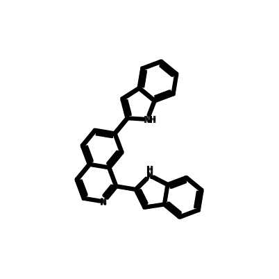 c1ccc2[nH]c(-c3ccc4ccnc(-c5cc6ccccc6[nH]5)c4c3)cc2c1